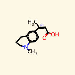 C/C(=C/C(=O)O)c1ccc2c(c1)CCCN2C